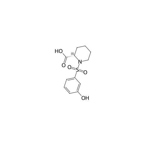 O=C(O)[C@@H]1CCCCN1S(=O)(=O)c1cccc(O)c1